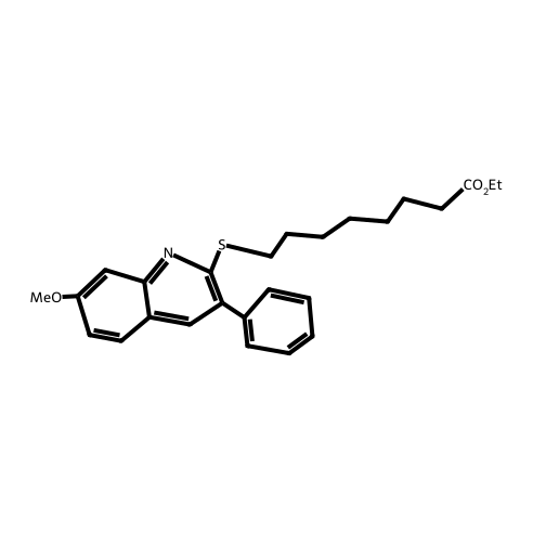 CCOC(=O)CCCCCCCSc1nc2cc(OC)ccc2cc1-c1ccccc1